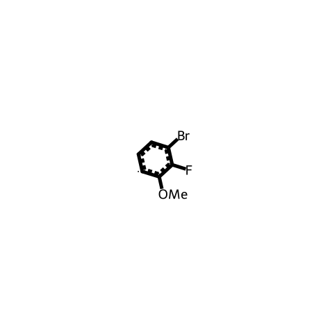 COc1[c]ccc(Br)c1F